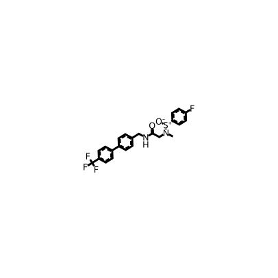 CN(CC(=O)NCc1ccc(-c2ccc(C(F)(F)F)cc2)cc1)[S+]([O-])c1ccc(F)cc1